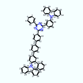 c1ccc(-c2nc(-c3ccc(-c4ccc(-c5ccc(-n6c7ccccc7c7ccccc76)c(-c6ccccc6)c5)cc4)cc3)nc(-c3cccc(-n4c5ccccc5c5ccccc54)c3)n2)cc1